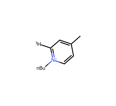 [3H]c1cc(C)cc[n+]1CCCC